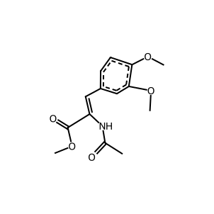 COC(=O)/C(=C/c1ccc(OC)c(OC)c1)NC(C)=O